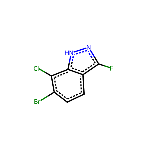 Fc1n[nH]c2c(Cl)c(Br)ccc12